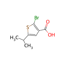 CC(C)c1cc(C(=O)O)c(Br)s1